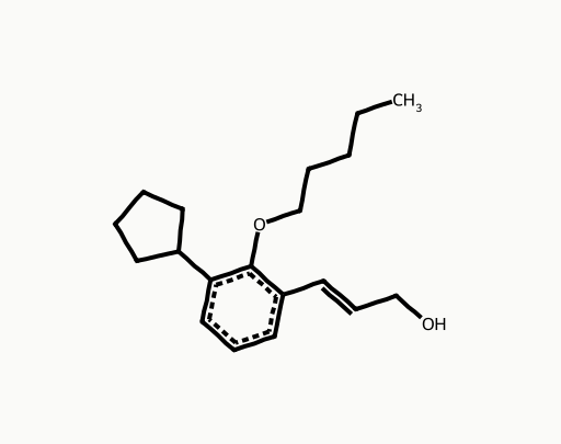 CCCCCOc1c(C=CCO)cccc1C1CCCC1